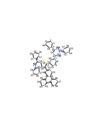 c1ccc(-c2cc(-c3cccc(-c4sc5c(-c6ccccc6)nc6ccccc6c5c4-c4ccc5c6ccccc6c6ccccc6c5c4)c3)nc(-c3ccccc3)n2)cc1